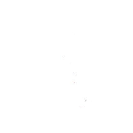 CCc1ccc(S(=O)(=O)C23CCN(C(=O)[C@]4(O)CC[C@@H](C(=O)O)CC4)C2CCc2cc(C(F)(C(F)(F)F)C(F)(F)F)ccc23)cc1